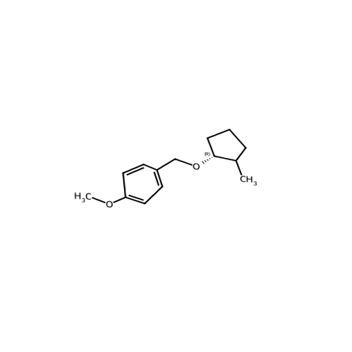 COc1ccc(CO[C@@H]2CCCC2C)cc1